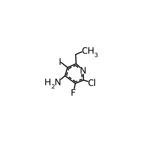 CCc1nc(Cl)c(F)c(N)c1I